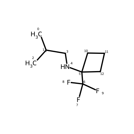 C[C](C)CNC1(C(F)(F)F)CCC1